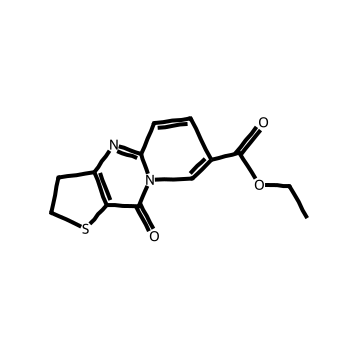 CCOC(=O)c1ccc2nc3c(c(=O)n2c1)SCC3